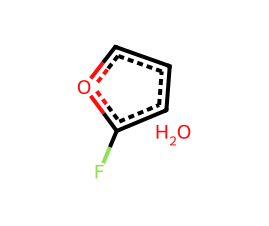 Fc1ccco1.O